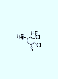 F.F.F.[S]c1cccc(Cl)c1Cl